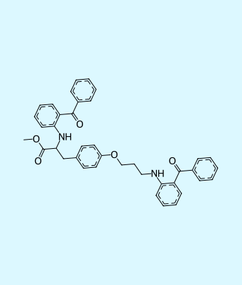 COC(=O)C(Cc1ccc(OCCCNc2ccccc2C(=O)c2ccccc2)cc1)Nc1ccccc1C(=O)c1ccccc1